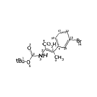 C/C(=C(\NC(=O)OC(C)(C)C)C(=O)O)c1cccc(Br)c1